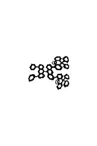 c1ccc(-c2cccc3c(-c4c5cccc(-c6cccc7c6Oc6ccccc6C7(c6ccccc6)c6ccccc6)c5cc5c(-c6cccc7c6Oc6ccccc6C7(c6ccccc6)c6ccccc6)cccc45)c4cccc(-c5ccccc5)c4cc23)cc1